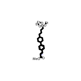 CCO[Si](CCCCC1CCC(c2ccc(/C=C/C(=O)OC)cc2)CC1)(OCC)OCC